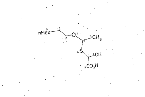 CCCCCCCCOC(C)SC(O)C(=O)O